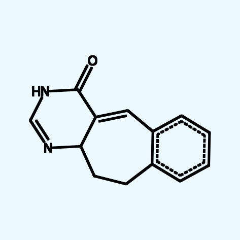 O=C1NC=NC2CCc3ccccc3C=C12